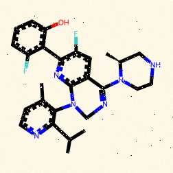 Cc1ccnc(C(C)C)c1N1CN=C(N2CCNC[C@@H]2C)c2cc(F)c(-c3c(O)cccc3F)nc21